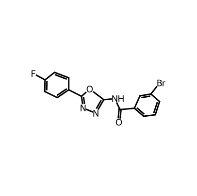 O=C(Nc1nnc(-c2ccc(F)cc2)o1)c1cccc(Br)c1